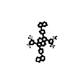 C[Si](C)(C)c1cc(-c2cc(-c3ccc(-c4cccc5ccccc45)cc3)c3ccc4c(-c5cc([Si](C)(C)C)cc([Si](C)(C)C)c5)cc(-c5ccc(-c6cccc7ccccc67)cc5)c5ccc2c3c54)cc([Si](C)(C)C)c1